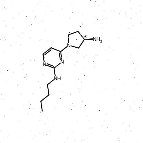 CCCCNc1nccc(N2CC[C@@H](N)C2)n1